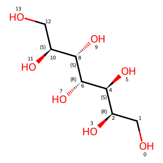 OC[C@@H](O)[C@H](O)[C@H](O)[C@@H](O)[C@@H](O)CO